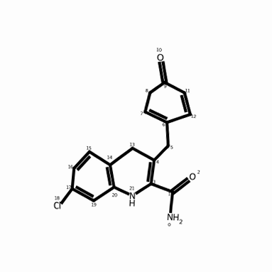 NC(=O)C1=C([CH]C2=CCC(=O)C=C2)Cc2ccc(Cl)cc2N1